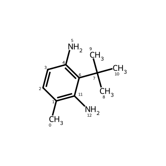 Cc1ccc(N)c(C(C)(C)C)c1N